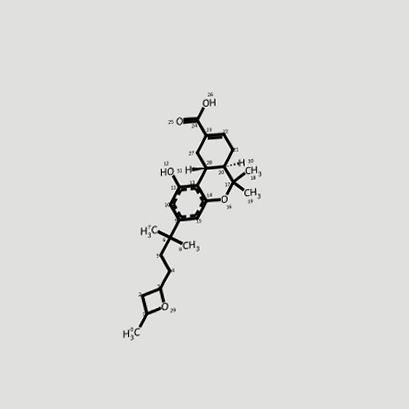 CC1CC(CCC(C)(C)c2cc(O)c3c(c2)OC(C)(C)[C@@H]2CC=C(C(=O)O)C[C@@H]32)O1